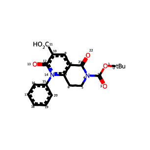 CC(C)(C)OC(=O)N1CCc2c(cc(C(=O)O)c(=O)n2-c2ccccc2)C1=O